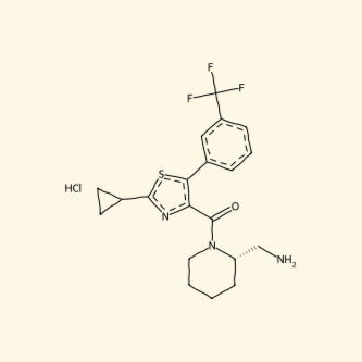 Cl.NC[C@@H]1CCCCN1C(=O)c1nc(C2CC2)sc1-c1cccc(C(F)(F)F)c1